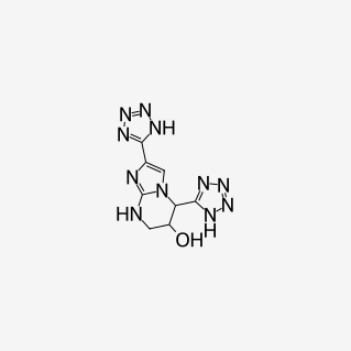 OC1CNc2nc(-c3nnn[nH]3)cn2C1c1nnn[nH]1